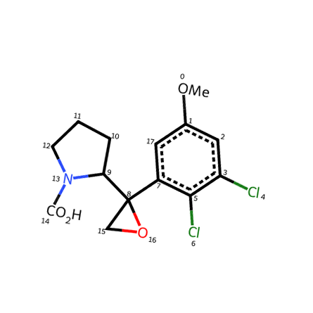 COc1cc(Cl)c(Cl)c(C2(C3CCCN3C(=O)O)CO2)c1